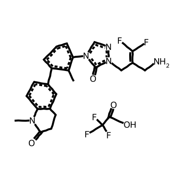 Cc1c(-c2ccc3c(c2)CCC(=O)N3C)cccc1-n1cnn(CC(CN)=C(F)F)c1=O.O=C(O)C(F)(F)F